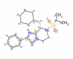 CC(C)S(=O)(=O)N1CCn2cc(-c3ccccc3)nc2[C@@H]1CC1CCCCC1